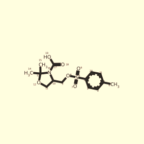 Cc1ccc(S(=O)(=O)OCC2COC(C)(C)N2C(=O)O)cc1